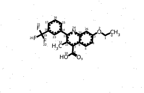 CCOc1ccc2c(C(=O)O)c(C)c(-c3cccc(C(F)(F)F)c3)nc2c1